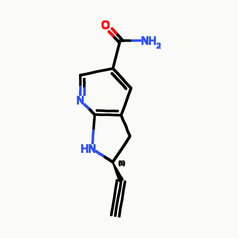 C#C[C@@H]1Cc2cc(C(N)=O)cnc2N1